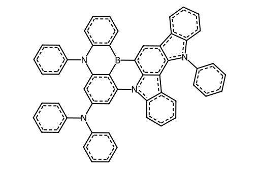 c1ccc(N(c2ccccc2)c2cc3c4c(c2)-n2c5ccccc5c5c2c(cc2c6ccccc6n(-c6ccccc6)c25)B4c2ccccc2N3c2ccccc2)cc1